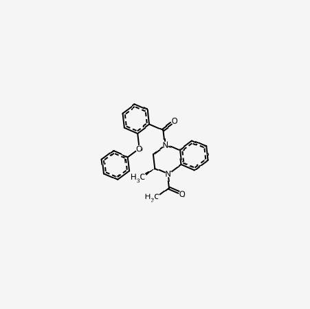 CC(=O)N1c2ccccc2N(C(=O)c2ccccc2Oc2ccccc2)C[C@@H]1C